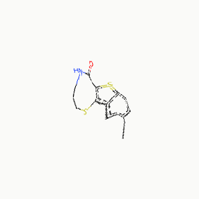 Cc1ccc2sc3c(c2c1)SCCNC3=O